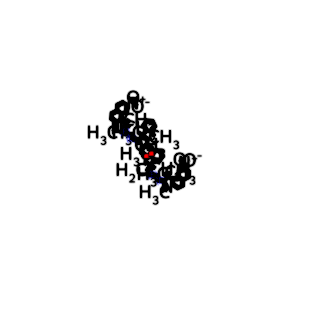 C=C(/C=C/C=C1/N(C)c2ccc3ccc([N+](=O)[O-])cc3c2C1(C)C)C(C)(Cc1ccc(CC(C)(C(=C)/C=C/C=C2/N(C)c3ccc4ccc([N+](=O)[O-])cc4c3C2(C)C)c2ccccc2C)cc1)c1ccccc1C